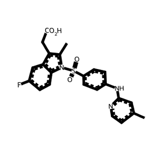 Cc1ccnc(Nc2ccc(S(=O)(=O)n3c(C)c(CC(=O)O)c4cc(F)ccc43)cc2)c1